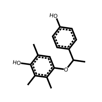 Cc1cc(OC(C)c2ccc(O)cc2)c(C)c(C)c1O